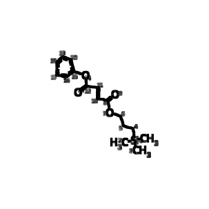 C[Si](C)(C)CCCOC(=O)C=CC(=O)Oc1ccccc1